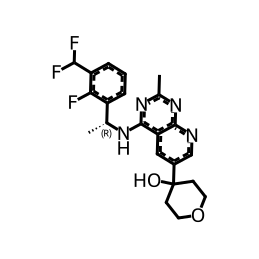 Cc1nc(N[C@H](C)c2cccc(C(F)F)c2F)c2cc(C3(O)CCOCC3)cnc2n1